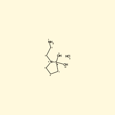 Cl.NCCN1CCCS1(O)O